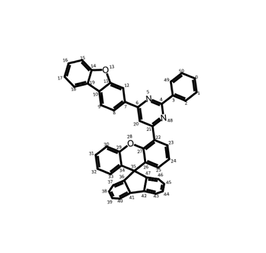 c1ccc(-c2nc(-c3ccc4c(c3)oc3ccccc34)cc(-c3cccc4c3Oc3ccccc3C43c4ccccc4-c4ccccc43)n2)cc1